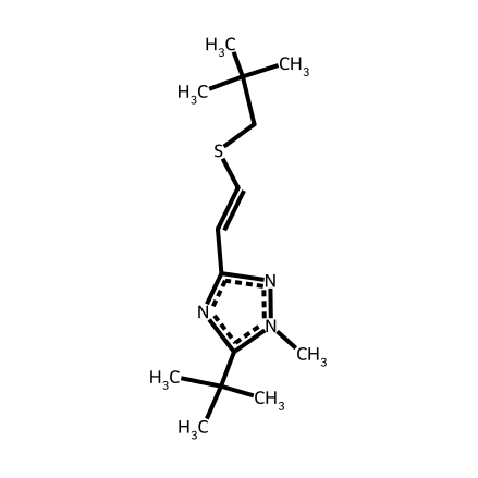 Cn1nc(C=CSCC(C)(C)C)nc1C(C)(C)C